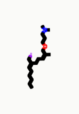 CCCCC/C=C(/CI)CC/C=C(/C)COCCCN(C)C